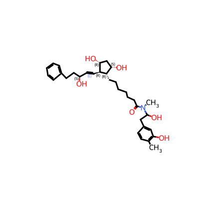 Cc1ccc(CC(O)N(C)C(=O)CCCCCC[C@@H]2[C@@H](/C=C/[C@@H](O)CCc3ccccc3)[C@H](O)C[C@@H]2O)cc1O